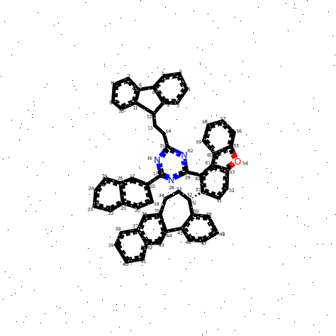 c1ccc2c(c1)-c1ccccc1C2CCc1nc(-c2ccc3ccccc3c2)nc(-c2c([C@H]3CCc4cc5ccccc5cc4-c4ccccc43)ccc3oc4ccccc4c23)n1